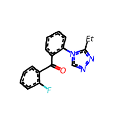 CCc1nncn1-c1ccccc1C(=O)c1ccccc1F